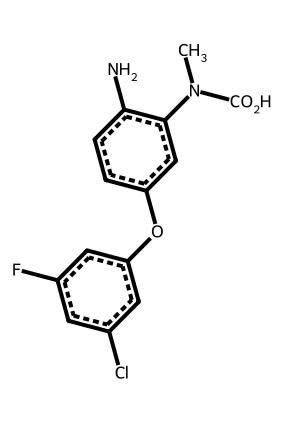 CN(C(=O)O)c1cc(Oc2cc(F)cc(Cl)c2)ccc1N